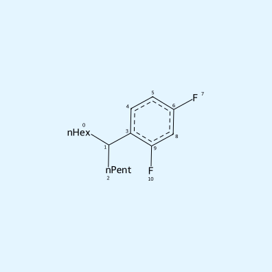 CCCCCCC(CCCCC)c1ccc(F)cc1F